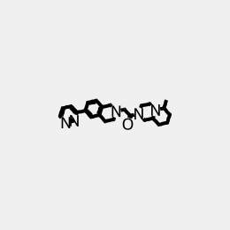 CC1CCCC2CN(C(=O)CN3CCc4cc(-c5cccnn5)ccc4C3)CCN12